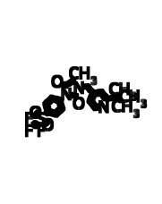 CC1C(=O)N(c2ccc(S(=O)(=O)C(F)(F)F)cc2)C(=O)N1Cc1ccnc(C(C)(C)C)c1